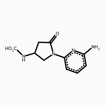 Nc1cccc(N2CC(NC(=O)O)CC2=O)n1